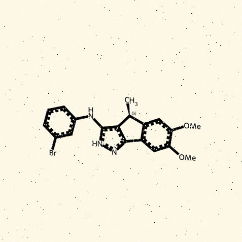 COc1cc2c(cc1OC)[C@H](C)c1c-2n[nH]c1Nc1cccc(Br)c1